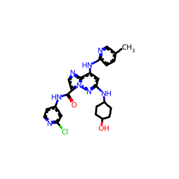 Cc1ccc(Nc2cc(NC3CCC(O)CC3)nn3c(C(=O)Nc4ccnc(Cl)c4)cnc23)nc1